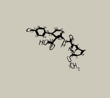 COc1cccc2cc(C(=O)NC3=C(C(=O)O)C(c4ccc(Cl)cc4)CS3)nn12